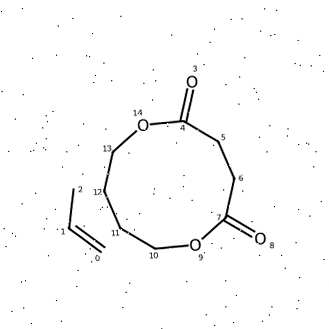 C=CC.O=C1CCC(=O)OCCCCO1